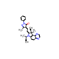 C#CC(C)N1/C(=C/C=C2/C(=O)N(c3ccccc3)N=C2C)C(C)(C#C)c2c1ccc1nccnc21